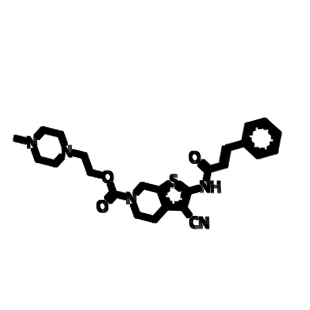 CN1CCN(CCOC(=O)N2CCc3c(sc(NC(=O)/C=C/c4ccccc4)c3C#N)C2)CC1